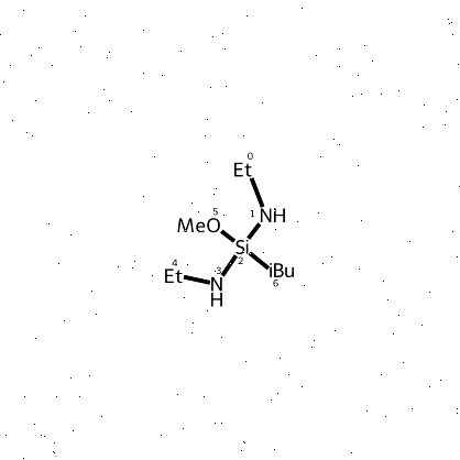 CCN[Si](NCC)(OC)C(C)CC